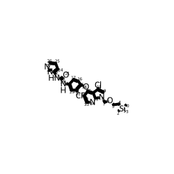 C[Si](C)(C)CCOCn1cc(Cl)c2c(Oc3ccc(NC(=O)Nc4cccnn4)cc3C(F)(F)F)ccnc21